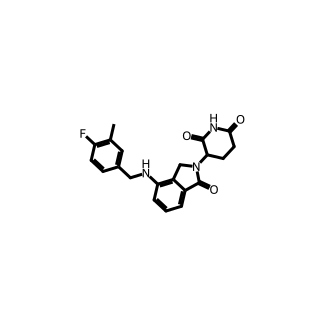 Cc1cc(CNc2cccc3c2CN(C2CCC(=O)NC2=O)C3=O)ccc1F